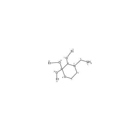 CCOC1N(C[SiH3])CCOC1(OCC)OCC